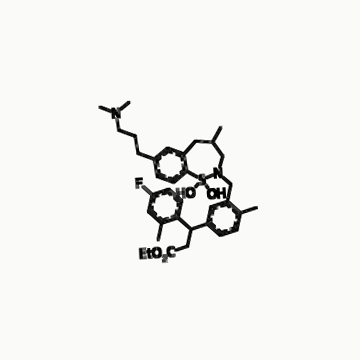 CCOC(=O)CC(c1ccc(C)c(CN2CC(C)Cc3cc(CCCN(C)C)ccc3S2(O)O)c1)c1ccc(F)cc1C